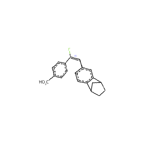 O=C(O)c1ccc(/C(F)=C\c2ccc3c(c2)C2CCC3C2)cc1